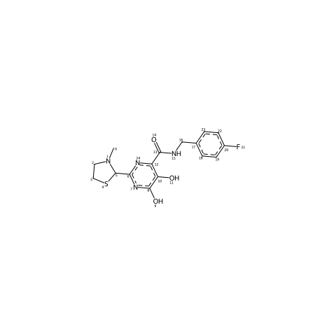 CN1CCSC1c1nc(O)c(O)c(C(=O)NCc2ccc(F)cc2)n1